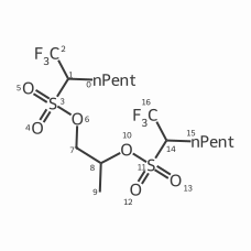 CCCCCC(C(F)(F)F)S(=O)(=O)OCC(C)OS(=O)(=O)C(CCCCC)C(F)(F)F